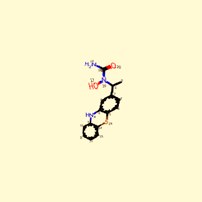 CC(c1ccc2c(c1)Nc1ccccc1S2)N(O)C(N)=O